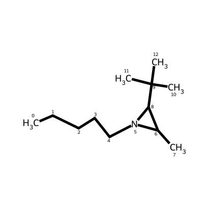 CCCCCN1C(C)C1C(C)(C)C